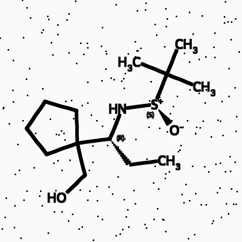 CC[C@@H](N[S@+]([O-])C(C)(C)C)C1(CO)CCCC1